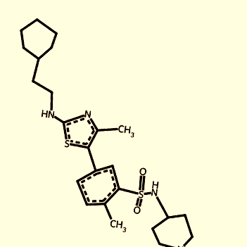 Cc1ccc(-c2sc(NCCC3CCCCC3)nc2C)cc1S(=O)(=O)NC1CCNCC1